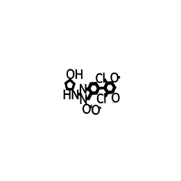 COC=O.COc1cc(OC)c(Cl)c(-c2ccc3nc(NC4CCC(O)C4)ncc3c2)c1Cl